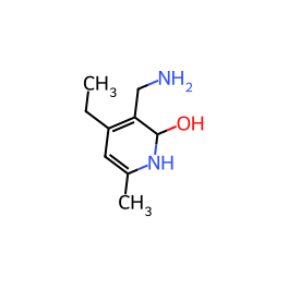 CCC1=C(CN)C(O)NC(C)=C1